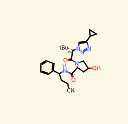 CC(C)(C)[C@@H](C(=O)N1CC(O)CC1C(=O)NC(CCC#N)c1ccccc1)n1cc(C2CC2)nn1